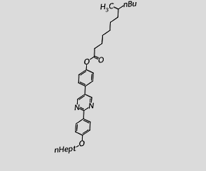 CCCCCCCOc1ccc(-c2ncc(-c3ccc(OC(=O)CCCCCCC(C)CCCC)cc3)cn2)cc1